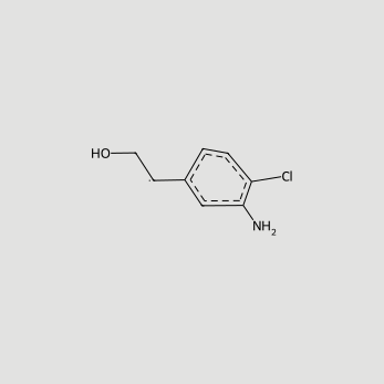 Nc1cc([CH]CO)ccc1Cl